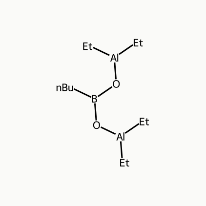 CCCCB([O][Al]([CH2]C)[CH2]C)[O][Al]([CH2]C)[CH2]C